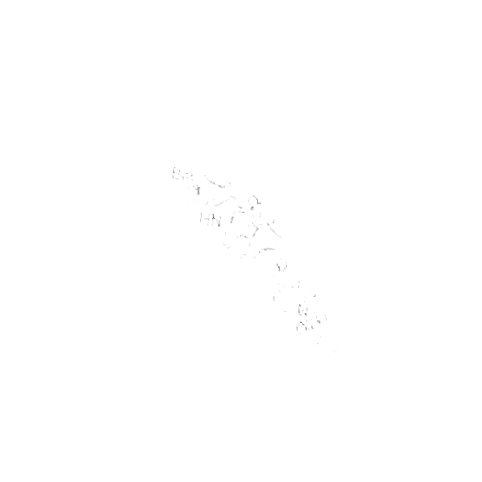 CCCS(=O)(=O)N1CCC(COc2ccc3c(c2)C(C)(C)c2[nH]c4cc(Br)ccc4c2C3=O)CC1